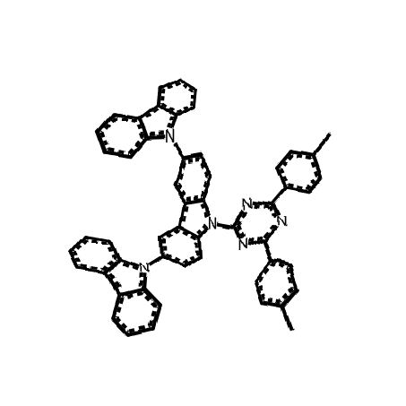 Cc1ccc(-c2nc(-c3ccc(C)cc3)nc(-n3c4ccc(-n5c6ccccc6c6ccccc65)cc4c4cc(-n5c6ccccc6c6ccccc65)ccc43)n2)cc1